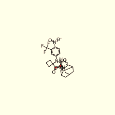 NC(=O)C12CC3CC(C1)C(NC(=O)C1(N(c4ccc([N+](=O)[O-])c(C(F)(F)F)c4)[SH](=O)=O)CCC1)C(C3)C2